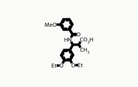 CCOc1ccc(C(NC(=O)c2cccc(OC)c2)C(C)C(=O)O)cc1OCC